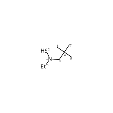 CCN(S)CC(C)(C)C